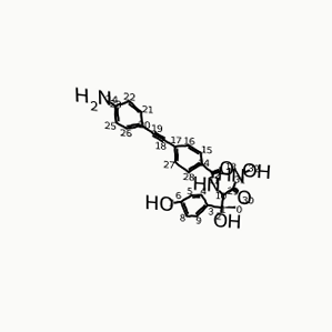 C[C@@](O)(c1ccc(O)cc1)C(NC(=O)c1ccc(C#Cc2ccc(N)cc2)cc1)C(=O)NO